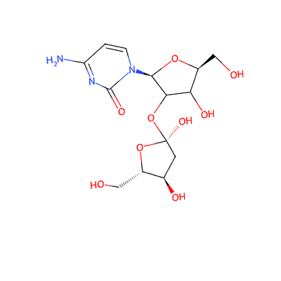 Nc1ccn([C@H]2O[C@@H](CO)C(O)C2O[C@@]2(O)C[C@@H](O)[C@H](CO)O2)c(=O)n1